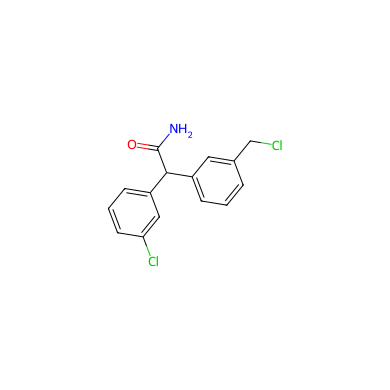 NC(=O)C(c1cccc(Cl)c1)c1cccc(CCl)c1